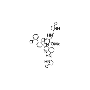 COc1nc(C2(c3cnc4c(c3)CCC[C@H]4NC[C@@H]3CCC(=O)N3)C=CC=C(c3ccccc3Cl)C2Cl)ccc1CNC[C@@H]1CCC(=O)N1